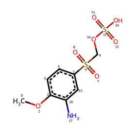 COc1ccc(S(=O)(=O)COS(=O)(=O)O)cc1N